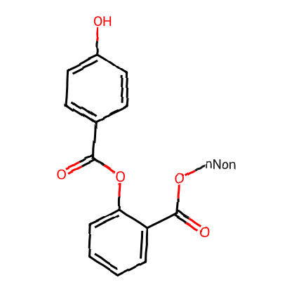 CCCCCCCCCOC(=O)c1ccccc1OC(=O)c1ccc(O)cc1